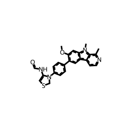 COc1cc2c(cc1-c1ccc(N3CSC=C3NC=O)cc1)c1ccnc(C)c1n2C